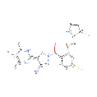 CC1=N/C(=C2\CN(C(=O)c3ccc(F)cc3OCC3NCCC3F)CC2=N)NC(C)=C1Cl